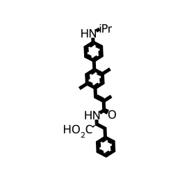 C/C(=C\c1cc(C)c(-c2ccc(NC(C)C)cc2)cc1C)C(=O)N[C@H](Cc1ccccc1)C(=O)O